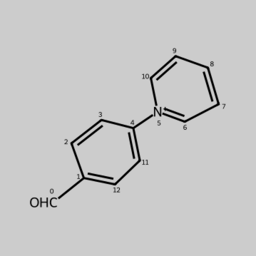 O=Cc1ccc(-[n+]2ccccc2)cc1